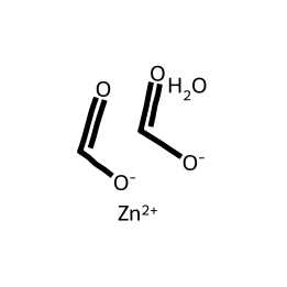 O.O=C[O-].O=C[O-].[Zn+2]